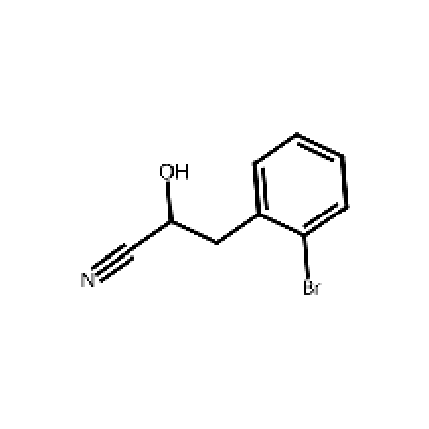 N#CC(O)Cc1ccccc1Br